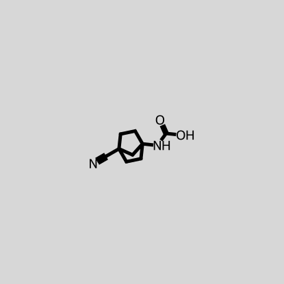 N#CC12CCC(NC(=O)O)(CC1)C2